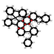 c1ccc(-c2ccccc2-c2c(-c3ccccc3)cccc2N(c2ccc3c(c2)C2(c4ccccc4-c4ccccc42)c2ccccc2-3)c2cccc3c2oc2ccccc23)cc1